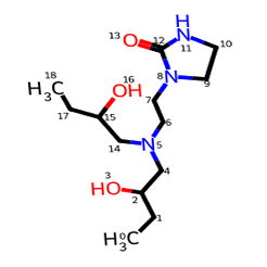 CCC(O)CN(CCN1CCNC1=O)CC(O)CC